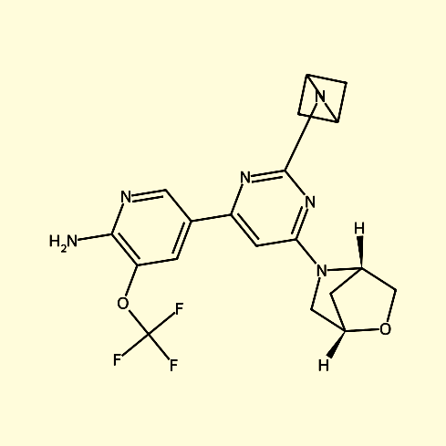 Nc1ncc(-c2cc(N3C[C@@H]4C[C@H]3CO4)nc(N3CC4CC3C4)n2)cc1OC(F)(F)F